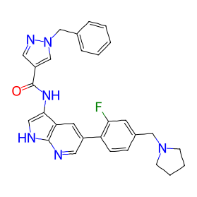 O=C(Nc1c[nH]c2ncc(-c3ccc(CN4CCCC4)cc3F)cc12)c1cnn(Cc2ccccc2)c1